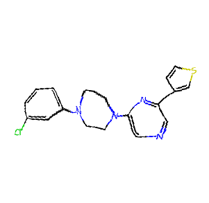 Clc1cccc(N2CCN(c3cncc(-c4ccsc4)n3)CC2)c1